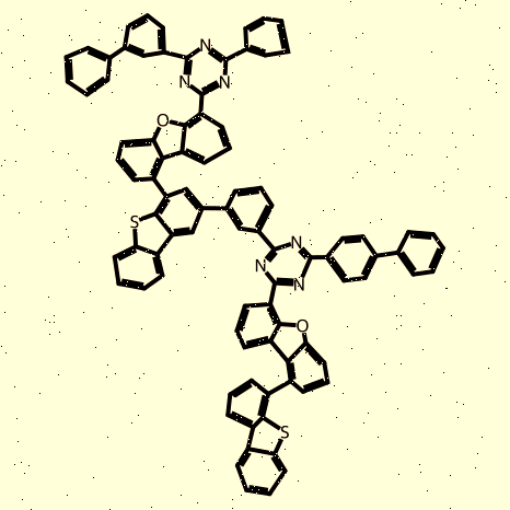 c1ccc(-c2ccc(-c3nc(-c4cccc(-c5cc(-c6cccc7oc8c(-c9nc(-c%10ccccc%10)nc(-c%10cccc(-c%11ccccc%11)c%10)n9)cccc8c67)c6sc7ccccc7c6c5)c4)nc(-c4cccc5c4oc4cccc(-c6cccc7c6sc6ccccc67)c45)n3)cc2)cc1